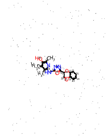 Cc1nc(Nc2nnc(C3COc4ccccc4O3)o2)c(C)c(C)c1O